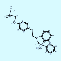 CC(C)(C)[Si](OCCCc1ccc(OCC(=O)C(F)(F)F)cc1)(c1ccccc1)c1ccccc1